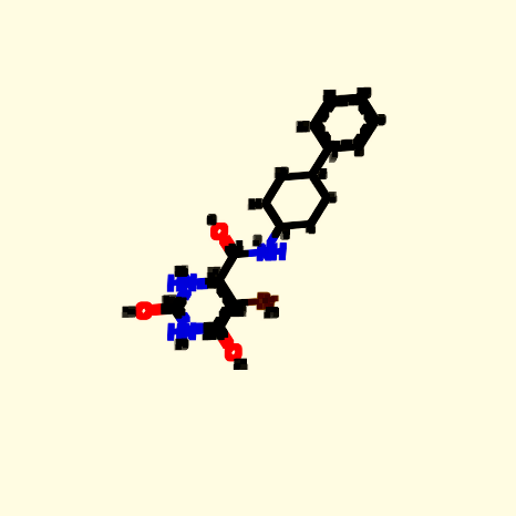 O=C(NC1CCC(c2ccccc2)CC1)c1[nH]c(=O)[nH]c(=O)c1Br